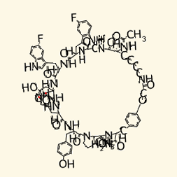 CC(=O)N[C@H]1CCCCNC(=O)COc2ccc(cc2)C[C@@H](C(N)=O)NC(=O)[C@]2(C)CCCN2C(=O)[C@H](Cc2ccc(O)cc2)NC(=O)[C@@H](Cc2cnc[nH]2)NC(=O)[C@H](CC(=O)O)NC(=O)[C@H](Cc2c[nH]c3ccc(F)cc23)NC(=O)[C@H](Cc2c[nH]c3ccc(F)cc23)NC(=O)CNC1=O